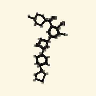 CN1CCN(C(=N)c2cc(-c3nc(-c4ccc(N5CCCC5)nc4)ns3)cc(F)c2O)CC1